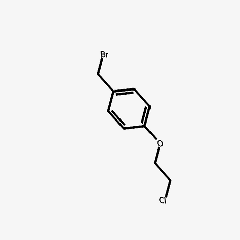 ClCCOc1ccc(CBr)cc1